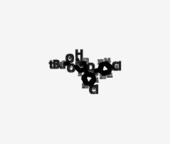 CC(C)(C)C(=O)OC1CC(OCc2ccc(Cl)cc2)(c2ccc(Cl)cc2)CN1